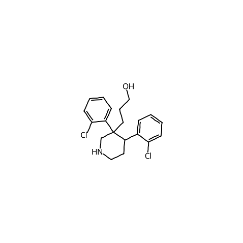 OCCCC1(c2ccccc2Cl)CNCCC1c1ccccc1Cl